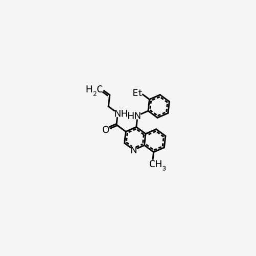 C=CCNC(=O)c1cnc2c(C)cccc2c1Nc1ccccc1CC